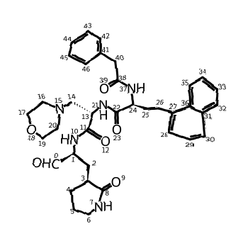 O=C[C@H](C[C@@H]1CCCNC1=O)NC(=O)[C@H](CN1CCOCC1)NC(=O)[C@H](CCc1cccc2ccccc12)NC(=O)Cc1ccccc1